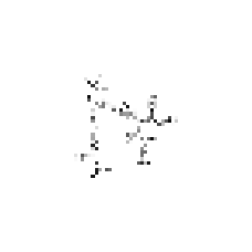 C=C(C)C(=O)OCCC[SiH2]O[Si](C)(C)C.O=C1C=C(N2CC2)C(=O)C(N2CC2)=C1N1CC1